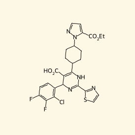 CCOC(=O)c1ccnn1C1CCC(C2=C(C(=O)O)C(c3ccc(F)c(F)c3Cl)N=C(c3nccs3)N2)CC1